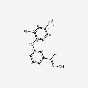 C/C(=N\O)c1cccc(Oc2ncc(C(F)(F)F)cc2F)c1